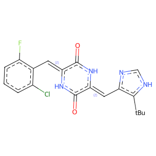 CC(C)(C)c1[nH]cnc1/C=c1\[nH]c(=O)/c(=C/c2c(F)cccc2Cl)[nH]c1=O